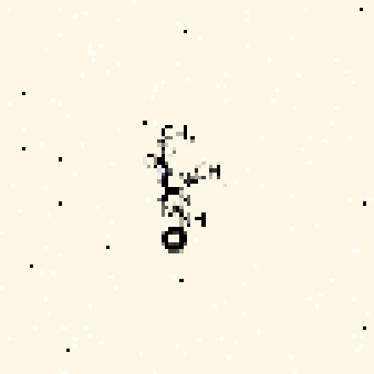 CCNc1nc(Nc2ccccc2)ncc1/C=C/C(=O)OCC